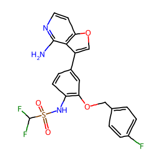 Nc1nccc2occ(-c3ccc(NS(=O)(=O)C(F)F)c(OCc4ccc(F)cc4)c3)c12